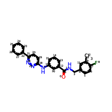 O=C(NCc1ccc(F)c(C(F)(F)F)c1)c1cccc(Nc2ccc(-c3ccccc3)nn2)c1